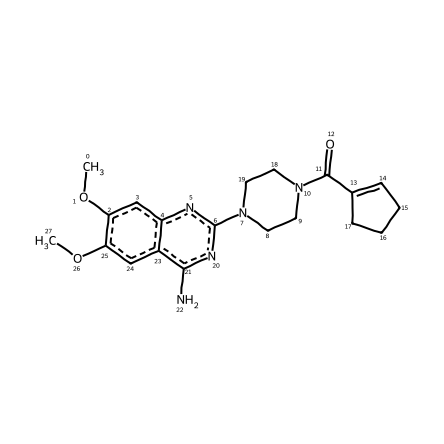 COc1cc2nc(N3CCN(C(=O)C4=CCCC4)CC3)nc(N)c2cc1OC